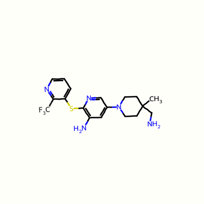 CC1(CN)CCN(c2cnc(Sc3cccnc3C(F)(F)F)c(N)c2)CC1